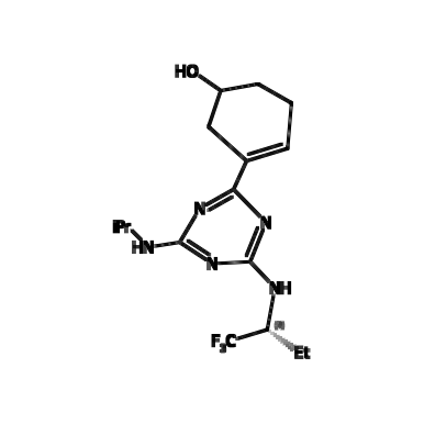 CC[C@@H](Nc1nc(NC(C)C)nc(C2=CCCC(O)C2)n1)C(F)(F)F